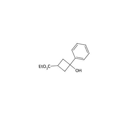 CCOC(=O)C1CC(O)(c2ccccc2)C1